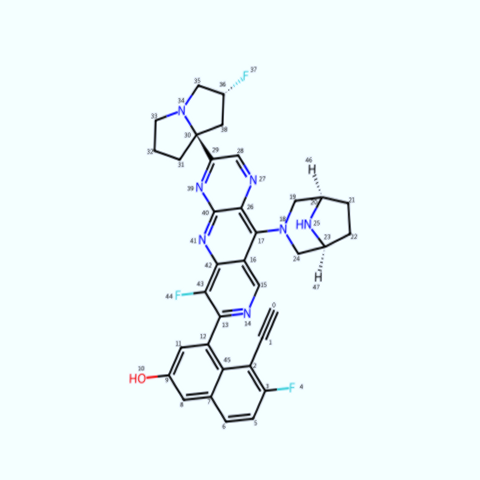 C#Cc1c(F)ccc2cc(O)cc(-c3ncc4c(N5C[C@H]6CC[C@@H](C5)N6)c5ncc([C@@]67CCCN6C[C@H](F)C7)nc5nc4c3F)c12